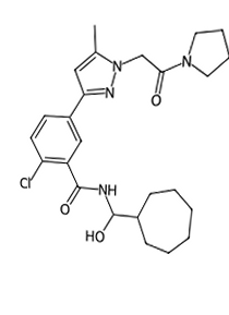 Cc1cc(-c2ccc(Cl)c(C(=O)NC(O)C3CCCCCC3)c2)nn1CC(=O)N1CCCC1